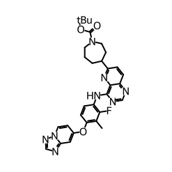 Cc1c(Oc2ccn3ncnc3c2)ccc(Nc2ncnc3ccc(C4CCCN(C(=O)OC(C)(C)C)CC4)nc23)c1F